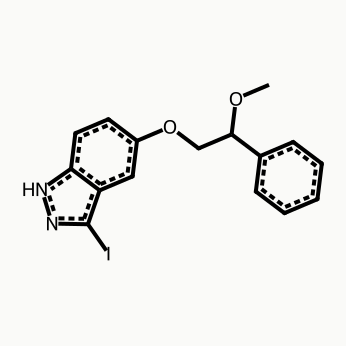 COC(COc1ccc2[nH]nc(I)c2c1)c1ccccc1